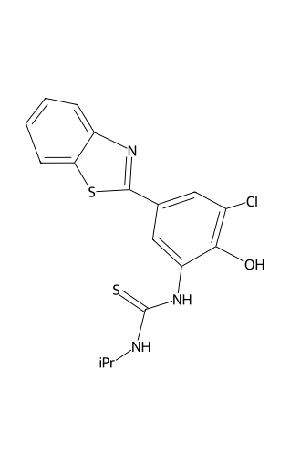 CC(C)NC(=S)Nc1cc(-c2nc3ccccc3s2)cc(Cl)c1O